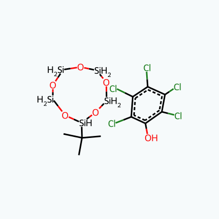 CC(C)(C)[SiH]1O[SiH2]O[SiH2]O[SiH2]O[SiH2]O1.Oc1c(Cl)c(Cl)c(Cl)c(Cl)c1Cl